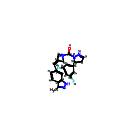 Cc1n[nH]c2cc(C=C3CN(C(=O)N4N=CC[C@H]4c4cc(F)cc(F)c4)C3)ccc12